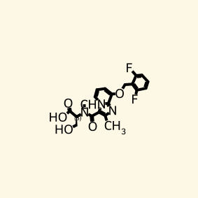 Cc1nc2c(OCc3c(F)cccc3F)cccn2c1C(=O)N(C)[C@@H](CO)C(=O)O